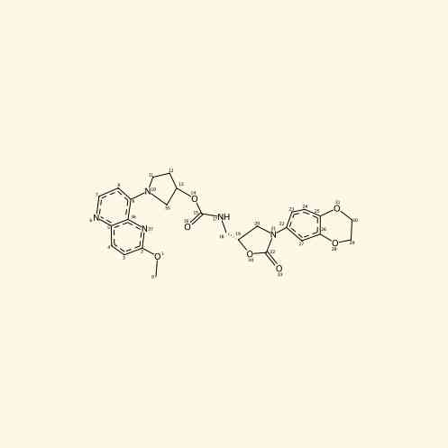 COc1ccc2nccc(N3CCC(OC(=O)NC[C@@H]4CN(c5ccc6c(c5)OCCO6)C(=O)O4)C3)c2n1